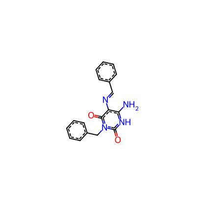 Nc1[nH]c(=O)n(Cc2ccccc2)c(=O)c1N=Cc1ccccc1